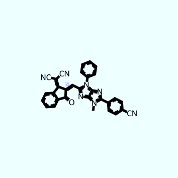 Cn1c(-c2ccc(C#N)cc2)nc2c1nc(/C=C1\C(=O)c3ccccc3C1=C(C#N)C#N)n2-c1ccccc1